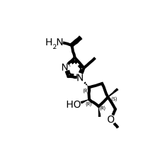 C=C(N)c1ncn([C@@H]2C[C@](C)(COC)[C@@H](C)[C@H]2O)c1C